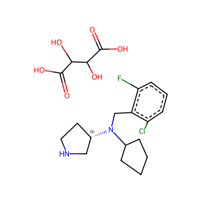 Fc1cccc(Cl)c1CN(C1CCCC1)[C@H]1CCNC1.O=C(O)C(O)C(O)C(=O)O